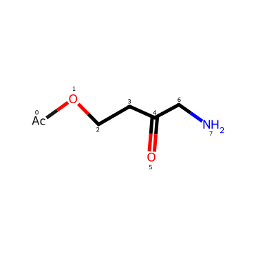 CC(=O)OCCC(=O)CN